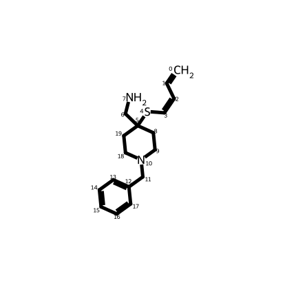 C=C/C=C\SC1(CN)CCN(Cc2ccccc2)CC1